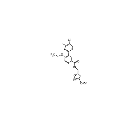 COc1cc(CNC(=O)c2cc(-c3ccc(Cl)c(C)c3)c(OCC(F)(F)F)cn2)on1